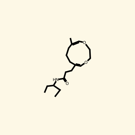 CCC(CC)NC(=O)CC/C1=C/OCCO/C=C(/C)CCC1